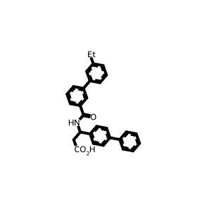 CCc1cccc(-c2cccc(C(=O)NC(CC(=O)O)c3ccc(-c4ccccc4)cc3)c2)c1